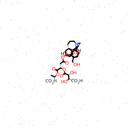 C[C@H](OC(=O)[C@H](CC(=O)OC1=CC[C@@]2(O)[C@H]3Cc4ccc(CO)c5c4[C@@]2(CCCN3C)[C@H]1O5)OC(=O)[C@H](O)[C@@H](O)C(=O)O)C(=O)O